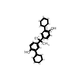 CCC(C)(c1ccc(O)c(C2CCCCC2)c1)c1ccc(O)c(C2CCCCC2)c1